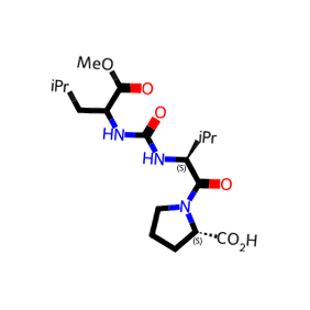 COC(=O)C(CC(C)C)NC(=O)N[C@H](C(=O)N1CCC[C@H]1C(=O)O)C(C)C